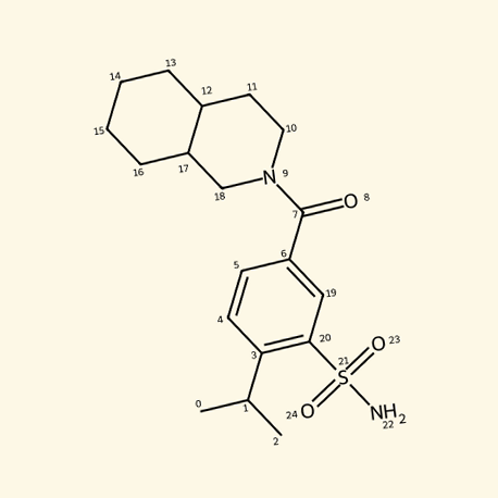 CC(C)c1ccc(C(=O)N2CCC3CCCCC3C2)cc1S(N)(=O)=O